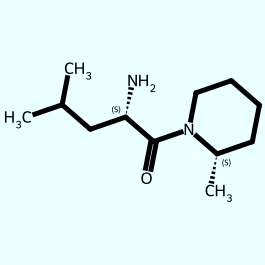 CC(C)C[C@H](N)C(=O)N1CCCC[C@@H]1C